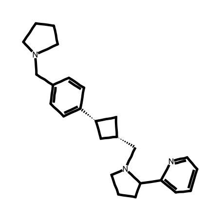 c1ccc(C2CCCN2C[C@H]2C[C@@H](c3ccc(CN4CCCC4)cc3)C2)nc1